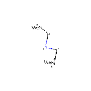 CNC[N]CNC